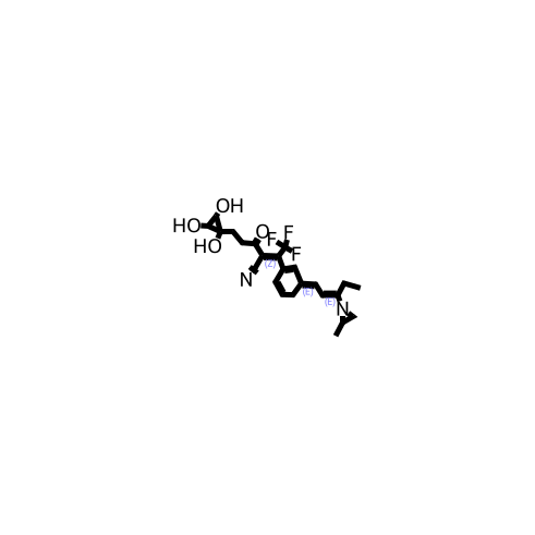 CC/C(=C\C=C1C=C(/C(=C(\C#N)C(=O)CCC2(O)C(O)C2O)C(F)(F)F)C=CC\1)N1CC1C